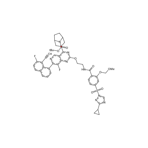 C#Cc1c(F)ccc2cccc(-c3ncc4c(N5CC6CCC(C5)N6C(=O)OC(C)(C)C)nc(OCCNC(=O)c5ccc(S(=O)(=O)n6cnc(C7CC7)n6)cc5OCOC)nc4c3F)c12